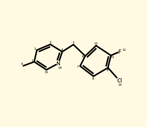 Cc1ccc(Cc2ccc(Cl)c(F)c2)nc1